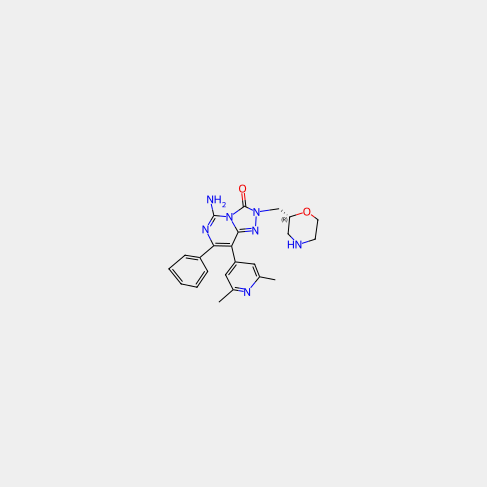 Cc1cc(-c2c(-c3ccccc3)nc(N)n3c(=O)n(C[C@H]4CNCCO4)nc23)cc(C)n1